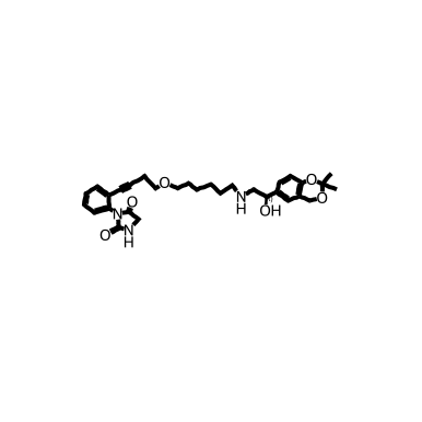 CC1(C)OCc2cc([C@@H](O)CNCCCCCCOCCC#Cc3ccccc3N3C(=O)CNC3=O)ccc2O1